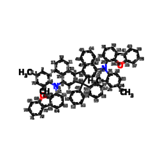 Cc1ccc(N(c2cc3c(c4ccccc24)-c2c(cc(N(c4ccc(C)cc4C)c4cccc5c4oc4ccccc45)c4ccccc24)C3(c2ccccc2)c2ccccc2)c2cccc3c2oc2ccccc23)c(C)c1